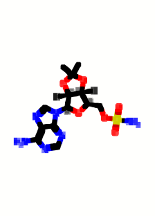 CC1(C)O[C@@H]2[C@H](O1)[C@@H](COS(N)(=O)=O)O[C@H]2n1cnc2c(N)ncnc21